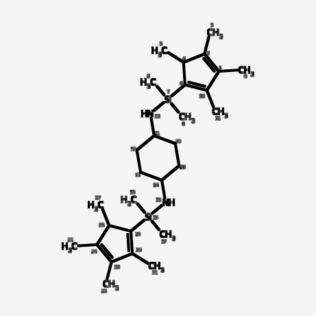 CC1=C(C)C(C)C([Si](C)(C)NC2CCC(N[Si](C)(C)C3=C(C)C(C)=C(C)C3C)CC2)=C1C